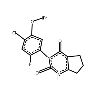 CC(C)Oc1cc(-n2c(=O)[nH]c3c(c2=O)CCC3)c(F)cc1Cl